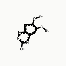 CCOc1cc2nnc(O)nc2cc1OCC